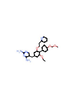 CCOc1cc(Cc2cnc(N)nc2N)cc(OCCc2ccccn2)c1-c1ccc(OCOC)cc1